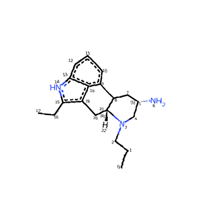 CCCN1C[C@@H](N)CC2c3cccc4[nH]c(CC)c(c34)C[C@H]21